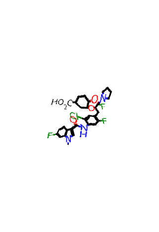 Cn1cc(C(=O)Nc2cc(F)c(CC(=O)C(F)(OC3CCC(C(=O)O)CC3)N3CCCC3)cc2Cl)c2ccc(F)cc21